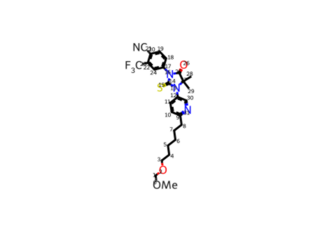 COCOCCCCCCc1ccc(N2C(=S)N(c3ccc(C#N)c(C(F)(F)F)c3)C(=O)C2(C)C)cn1